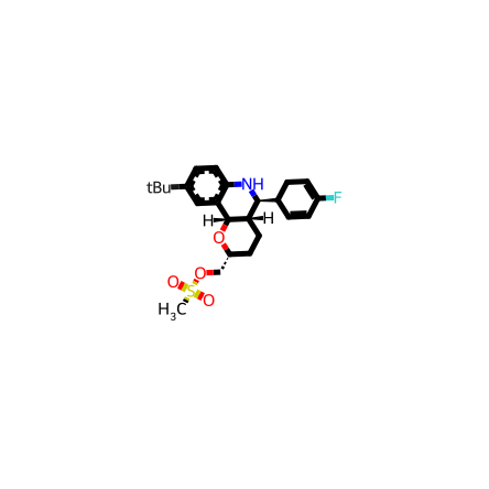 CC(C)(C)c1ccc2c(c1)[C@H]1O[C@@H](COS(C)(=O)=O)CC[C@H]1[C@H](C1C=CC(F)=CC1)N2